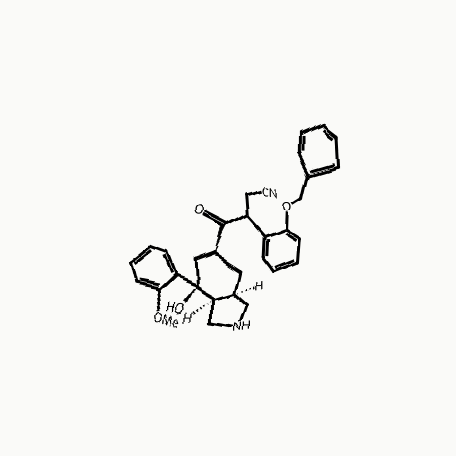 COc1ccccc1[C@]1(O)C[C@@H](C(=O)C(CC#N)c2ccccc2OCc2ccccc2)C[C@H]2CNC[C@H]21